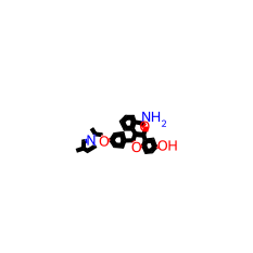 CC1=C(c2ccccc2C(N)=O)C(c2ccc(OCC(C)N3CCC(C)C3)cc2)Oc2ccc(O)cc21